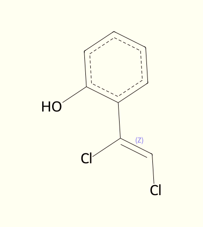 Oc1ccccc1/C(Cl)=C/Cl